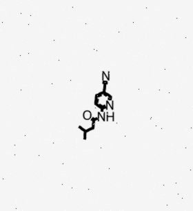 CC(C)CC(=O)Nc1ccc(C#N)cn1